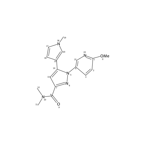 COc1ccc(-n2nc(C(=O)N(C)C)cc2-c2ccn(C)c2)cn1